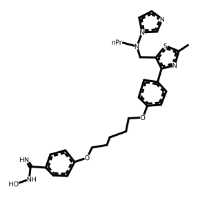 CCCN(Cc1sc(C)nc1-c1ccc(OCCCCCOc2ccc(C(=N)NO)cc2)cc1)n1ccnc1